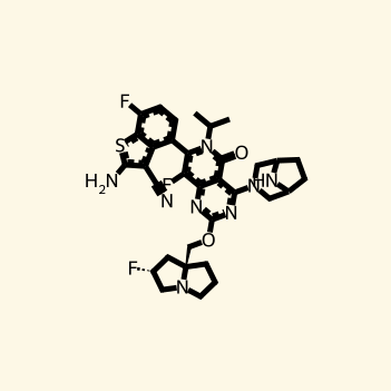 CC(C)n1c(-c2ccc(F)c3sc(N)c(C#N)c23)c(F)c2nc(OC[C@@]34CCCN3C[C@H](F)C4)nc(N3CC4CCC(C3)N4)c2c1=O